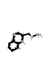 NOCc1cnc2ccccc2n1